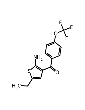 CCc1cc(C(=O)c2ccc(OC(F)(F)F)cc2)c(N)s1